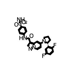 NS(=O)(=O)c1ccc(NC(=O)c2cnn3ccc(N4CCC[C@@H]4c4cc(F)ccc4F)cc23)cc1